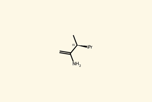 C=C(N)[C@@H](C)C(C)C